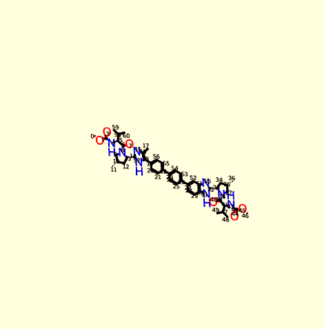 COC(=O)N[C@H](C(=O)N1C[C@@H](C)C[C@H]1c1nc(C)c(-c2ccc(-c3ccc(-c4ccc5[nH]c([C@@H]6C[C@H](C)CN6C(=O)[C@@H](NC(=O)OC)C(C)C)nc5c4)cc3)cc2)[nH]1)C(C)C